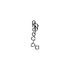 O=c1ccn2c(n1)OC(COc1ccc(-c3cccc(Cl)c3)cc1)C2